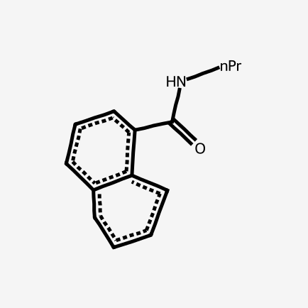 [CH2]CCNC(=O)c1cccc2ccccc12